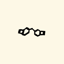 C1=Cc2cc(Cc3ccc4c(c3)C=C4)ccc21